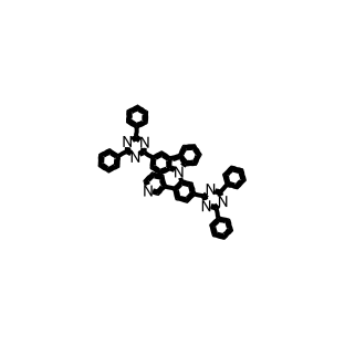 c1ccc(-c2nc(-c3ccccc3)nc(-c3ccc(-c4cccnc4)c(-n4c5ccccc5c5cc(-c6nc(-c7ccccc7)nc(-c7ccccc7)n6)ccc54)c3)n2)cc1